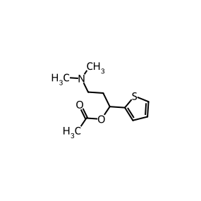 CC(=O)OC(CCN(C)C)c1cccs1